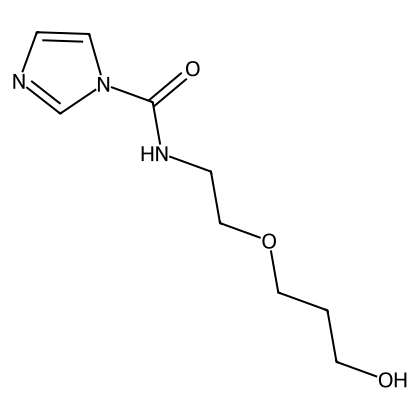 O=C(NCCOCCCO)n1ccnc1